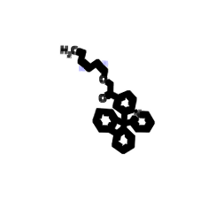 C=C/C=C\C=C/OCC(=O)c1cccc(C2(c3ccccn3)c3ccccc3-c3ccccc32)c1